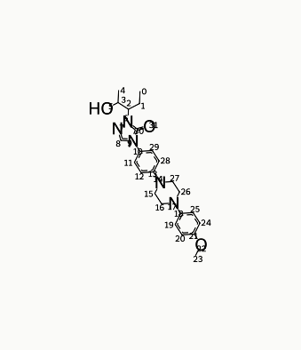 CCC(C(C)O)n1ncn(-c2ccc(N3CCN(c4ccc(OC)cc4)CC3)cc2)c1=O